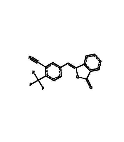 N#Cc1cc(C=C2OC(=O)c3ccccc32)ccc1C(F)(F)F